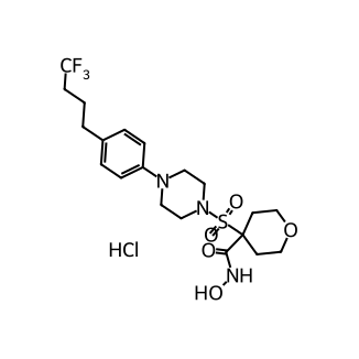 Cl.O=C(NO)C1(S(=O)(=O)N2CCN(c3ccc(CCCC(F)(F)F)cc3)CC2)CCOCC1